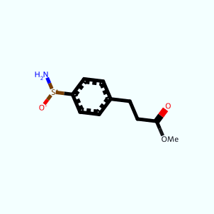 COC(=O)CCc1ccc([S+](N)[O-])cc1